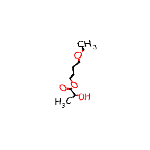 CCOCCCCOC(=O)C(C)O